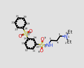 CCN(CC)CCCNS(=O)(=O)c1cccc(S(=O)(=O)c2ccccc2)c1